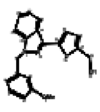 COc1cccc(Cn2nc(-c3ccc(CO)o3)c3ccccc32)c1